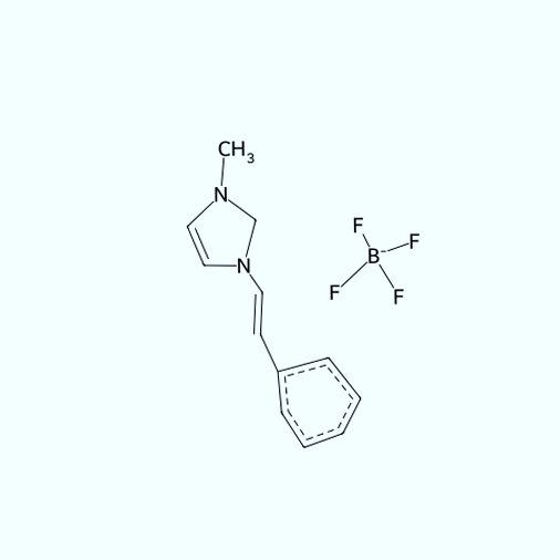 CN1C=CN(C=Cc2ccccc2)C1.F[B-](F)(F)F